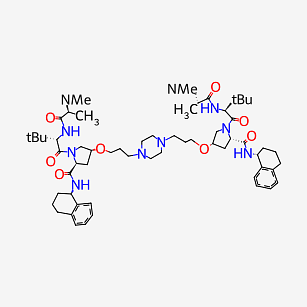 CN[C@@H](C)C(=O)N[C@H](C(=O)N1C[C@@H](OCCCN2CCN(CCCO[C@H]3C[C@@H](C(=O)N[C@@H]4CCCc5ccccc54)N(C(=O)[C@@H](NC(=O)[C@H](C)NC)C(C)(C)C)C3)CC2)C[C@H]1C(=O)N[C@@H]1CCCc2ccccc21)C(C)(C)C